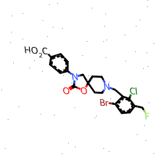 O=C(O)c1ccc(N2CC3(CCN(Cc4c(Br)ccc(CF)c4Cl)CC3)OC2=O)cc1